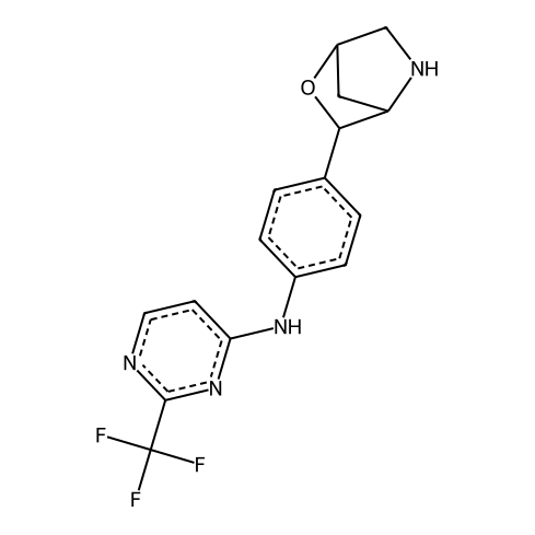 FC(F)(F)c1nccc(Nc2ccc(C3OC4CNC3C4)cc2)n1